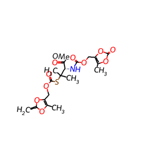 C=C1OC(C)=C(COC(=O)SC(C)(C)[C@@H](NC(=O)OCc2oc(=O)oc2C)C(=O)OC)O1